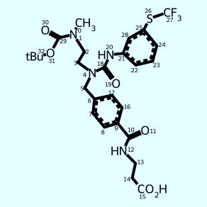 CN(CCN(Cc1ccc(C(=O)NCCC(=O)O)cc1)C(=O)Nc1cccc(SC(F)(F)F)c1)C(=O)OC(C)(C)C